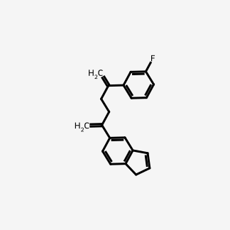 C=C(CCC(=C)c1ccc2c(c1)C=CC2)c1cccc(F)c1